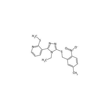 CCn1c(SCc2cc(C)ccc2[N+](=O)[O-])nnc1-c1cccnc1SC